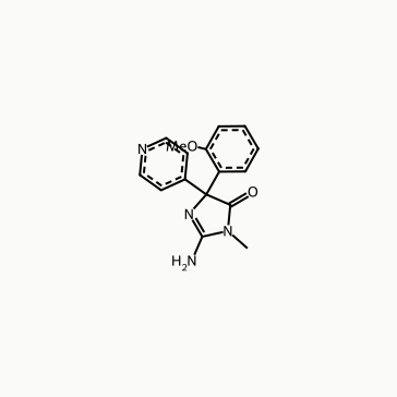 COc1ccccc1C1(c2ccncc2)N=C(N)N(C)C1=O